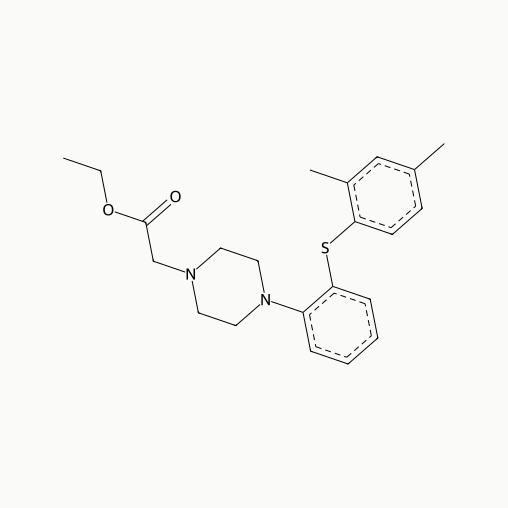 CCOC(=O)CN1CCN(c2ccccc2Sc2ccc(C)cc2C)CC1